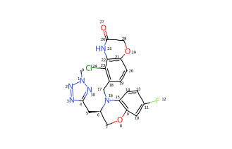 Cn1nnc(C[C@@H]2COc3cc(F)ccc3N2Cc2ccc3c(c2Cl)NC(=O)CO3)n1